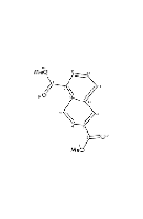 COC(=O)c1ccc2c(C(=O)OC)cccc2c1